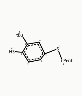 CCCCCSc1ccc(S)c(C(C)(C)C)c1